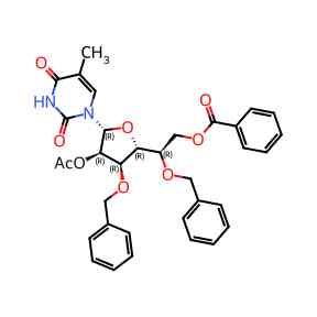 CC(=O)O[C@@H]1[C@H](OCc2ccccc2)[C@@H]([C@@H](COC(=O)c2ccccc2)OCc2ccccc2)O[C@H]1n1cc(C)c(=O)[nH]c1=O